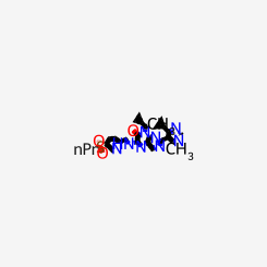 CCCS(=O)(=O)c1ccc(CNc2nc3cnc(-c4c(C)ncnc4C4CC4)nc3n(C(C)C3CC3)c2=O)nc1